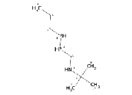 CCCBPCNC(C)(C)C